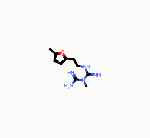 Cc1ccc(CCNC(=N)N(C)C(=N)N)o1